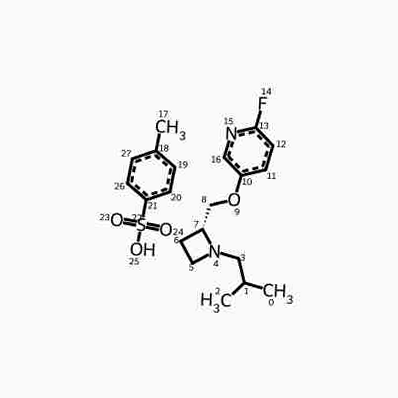 CC(C)CN1CC[C@@H]1COc1ccc(F)nc1.Cc1ccc(S(=O)(=O)O)cc1